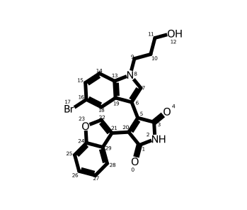 O=C1NC(=O)C(c2cn(CCCO)c3ccc(Br)cc23)=C1c1coc2ccccc12